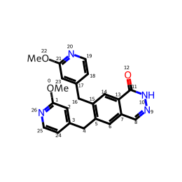 COc1cc(Cc2cc3cn[nH]c(=O)c3cc2Cc2ccnc(OC)c2)ccn1